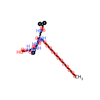 COCCOCCOCCOCCOCCOCCOCCOCCOCCOCCOCCOCCC(=O)N[C@@H](CCCCNC(=O)OCC1c2ccccc2-c2ccccc21)C(=O)NCC(=O)NCC(=O)N[C@@H](Cc1ccccc1)C(=O)NCC(=O)NCOCC(=O)O